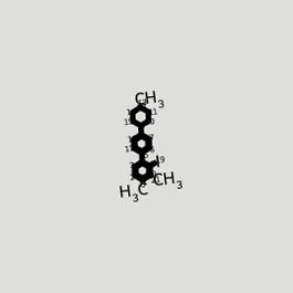 Cc1ccc(-c2ccc(C3CCC(C)CC3)cc2)c(I)c1C